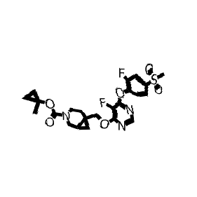 CC1(OC(=O)N2CCC3(COc4ncnc(Oc5ccc(S(C)(=O)=O)cc5F)c4F)CC3C2)CC1